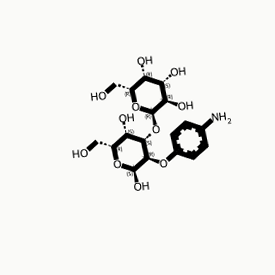 Nc1ccc(O[C@@H]2[C@@H](O[C@H]3O[C@H](CO)[C@H](O)[C@H](O)[C@H]3O)[C@@H](O)[C@@H](CO)O[C@@H]2O)cc1